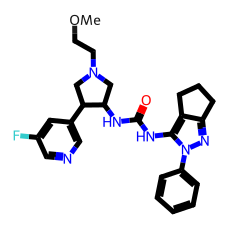 COCCN1CC(NC(=O)Nc2c3c(nn2-c2ccccc2)CCC3)C(c2cncc(F)c2)C1